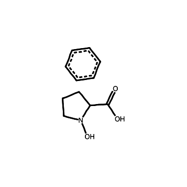 O=C(O)C1CCCN1O.c1ccccc1